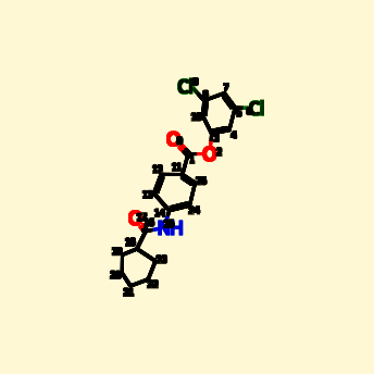 O=C(Oc1cc(Cl)cc(Cl)c1)c1ccc(NC(=O)C2CCCCC2)cc1